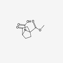 COC(=O)C12CCC(C(=O)C1)N2C(=O)O